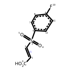 O=C(O)/C=C/S(=O)(=O)c1ccc(F)cc1